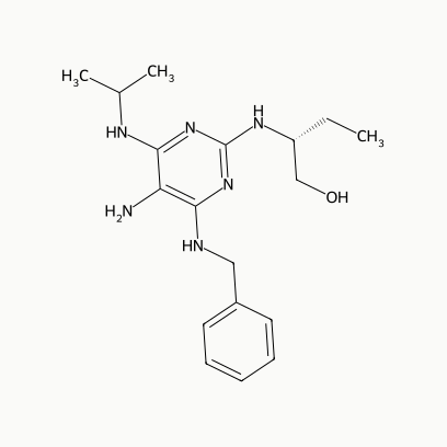 CC[C@H](CO)Nc1nc(NCc2ccccc2)c(N)c(NC(C)C)n1